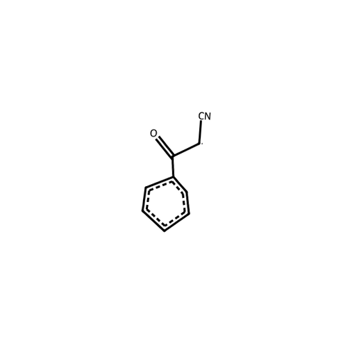 N#C[CH]C(=O)c1ccccc1